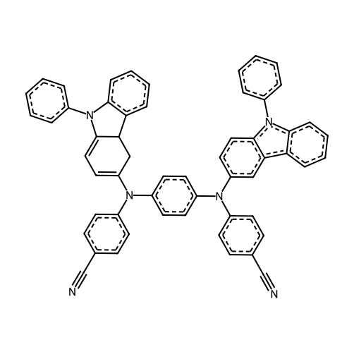 N#Cc1ccc(N(C2=CC=C3C(C2)c2ccccc2N3c2ccccc2)c2ccc(N(c3ccc(C#N)cc3)c3ccc4c(c3)c3ccccc3n4-c3ccccc3)cc2)cc1